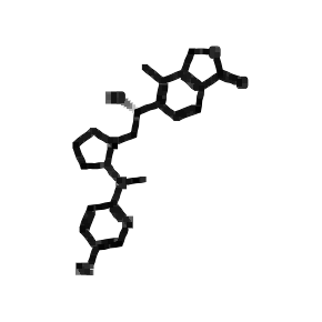 Cc1c([C@@H](O)CN2CCCC2N(C)c2ccc(C#N)cn2)ccc2c1COC2=O